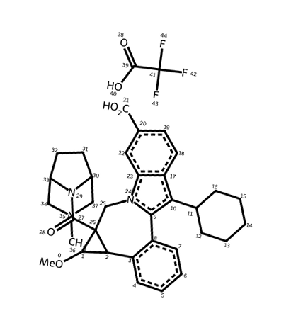 COC1C2c3ccccc3-c3c(C4CCCCC4)c4ccc(C(=O)O)cc4n3CC12C(=O)N1C2CCC1CN(C)C2.O=C(O)C(F)(F)F